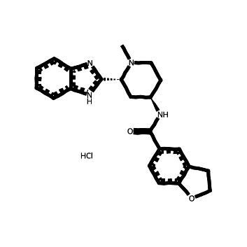 CN1CC[C@@H](NC(=O)c2ccc3c(c2)CCO3)C[C@@H]1c1nc2ccccc2[nH]1.Cl